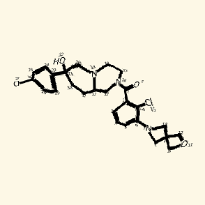 O=C(c1cccc(N2CC3(COC3)C2)c1Cl)N1CCN2CC(O)(c3ccc(Cl)cc3)CCC2C1